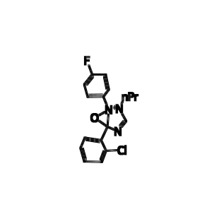 CCCN1C=NC2(c3ccccc3Cl)O[N+]12c1ccc(F)cc1